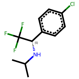 CC(C)N[C@@H](c1ccc(Cl)cc1)C(F)(F)F